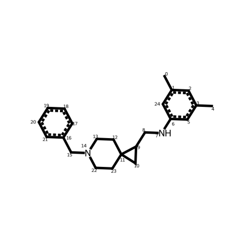 Cc1cc(C)cc(NCC2CC23CCN(Cc2ccccc2)CC3)c1